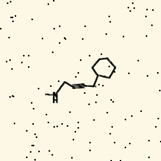 CNCC#C[CH]C1CCCCC1